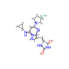 O=C1NC(=O)C(=Cc2cnn3c(NC4CC4)cc(N4CC[C@@H](F)C4)nc23)N1